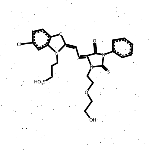 O=C1C(=CC=C2Oc3ccc(Cl)cc3N2CCCS(=O)(=O)O)N(CCOCCO)C(=S)N1c1ccccc1